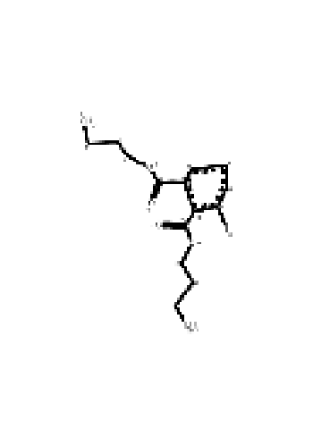 CCCCOC(=O)c1cccc(I)c1C(=O)OCCCC